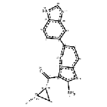 Nc1nc2ccc(-c3ccc4[nH]cnc4c3)cn2c1C(=O)[C@@H]1C[C@@H]1F